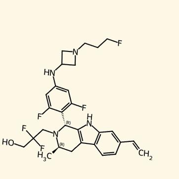 C=Cc1ccc2c3c([nH]c2c1)[C@@H](c1c(F)cc(NC2CN(CCCF)C2)cc1F)N(CC(F)(F)CO)[C@H](C)C3